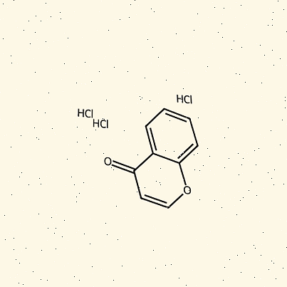 Cl.Cl.Cl.O=c1ccoc2ccccc12